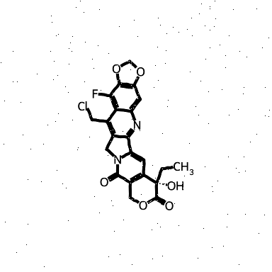 CC[C@@]1(O)C(=O)OCc2c1cc1n(c2=O)Cc2c-1nc1cc3c(c(F)c1c2CCl)OCO3